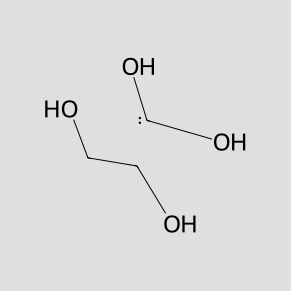 OCCO.O[C]O